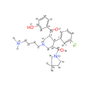 Cc1c(F)cccc1C1C(C(=O)c2cccc(O)c2)CN(CCCCN(C)C)CC1C(=O)N1CCC(C)(C)C1